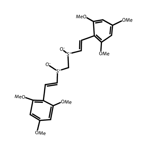 COc1cc(OC)c(C=C[S+]([O-])C[S+]([O-])/C=C/c2c(OC)cc(OC)cc2OC)c(OC)c1